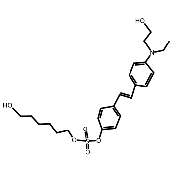 CCN(CCO)c1ccc(C=Cc2ccc(OS(=O)(=O)OCCCCCCO)cc2)cc1